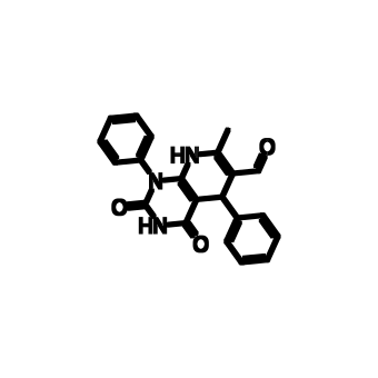 CC1=C(C=O)C(c2ccccc2)c2c(n(-c3ccccc3)c(=O)[nH]c2=O)N1